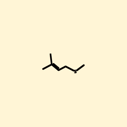 CSCC=C(C)C